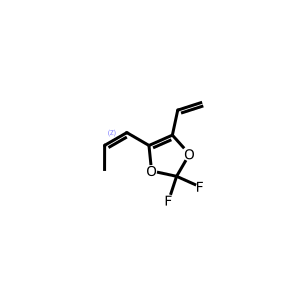 C=CC1=C(/C=C\C)OC(F)(F)O1